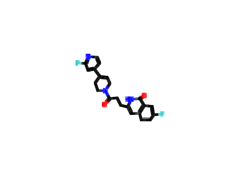 O=C(CCc1cc2ccc(F)cc2c(=O)[nH]1)N1CC=C(c2ccnc(F)c2)CC1